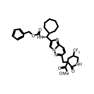 COC(=O)C1(Cc2ccc3nc([C@@H](NC(=O)OCc4ccccc4)C4CCCCCC4)cn3n2)CC(C(F)(F)F)CNC1=O